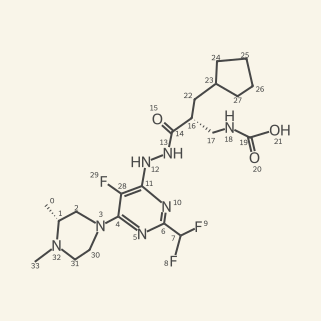 C[C@@H]1CN(c2nc(C(F)F)nc(NNC(=O)[C@@H](CNC(=O)O)CC3CCCC3)c2F)CCN1C